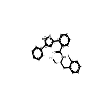 O=C(N[C@@H](CO)Cc1ccccc1F)c1ccccc1-c1cc(-c2ccccc2)[nH]n1